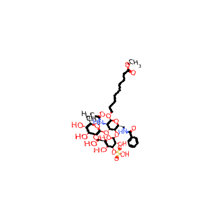 COC(=O)CCCCCCCCO[C@@H]1O[C@H](CNC(=O)c2ccccc2)[C@@H](O[C@@H]2O[C@H](CO)[C@H](O)[C@H](OS(=O)(=O)O)[C@H]2O)[C@H](O[C@@H]2O[C@@H](C)[C@@H](O)[C@@H](O)[C@@H]2O)[C@H]1NC(C)=O